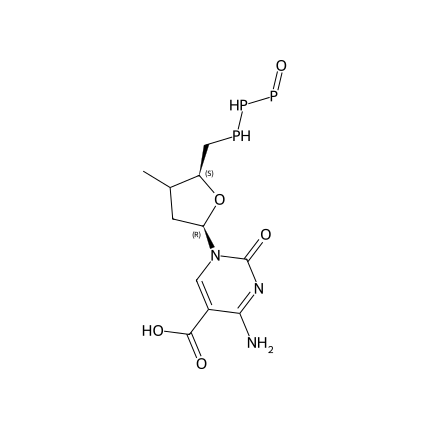 CC1C[C@H](n2cc(C(=O)O)c(N)nc2=O)O[C@@H]1CPPP=O